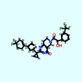 O=C(C(O)c1cccc(C(F)(F)F)c1)N1CCc2nc(C3(c4cc(C5=CCC(F)(F)CC5)cs4)CC3)[nH]c(=O)c2C1